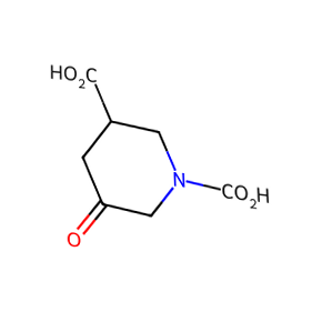 O=C1CC(C(=O)O)CN(C(=O)O)C1